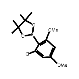 COc1cc(Cl)c(B2OC(C)(C)C(C)(C)O2)c(OC)c1